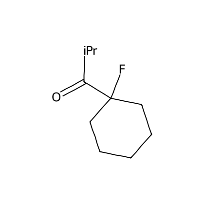 CC(C)C(=O)C1(F)CCCCC1